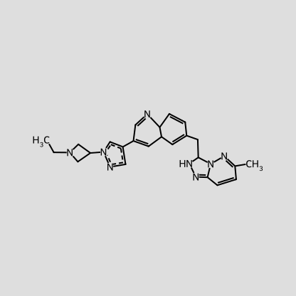 CCN1CC(n2cc(C3=CC4C=C(CC5NN=C6C=CC(C)=NN65)C=CC4N=C3)cn2)C1